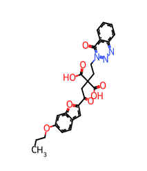 CCCOc1ccc2cc(C(=O)CC(CCn3nnc4ccccc4c3=O)(C(=O)O)C(=O)O)oc2c1